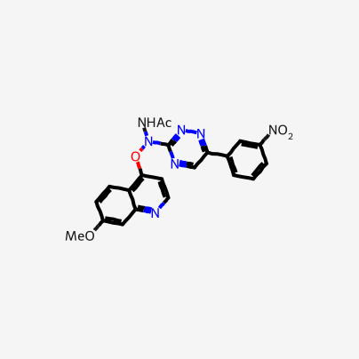 COc1ccc2c(ON(NC(C)=O)c3ncc(-c4cccc([N+](=O)[O-])c4)nn3)ccnc2c1